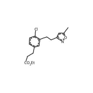 CCOC(=O)CCc1ccc(Cl)c(CCc2cc(C)on2)c1